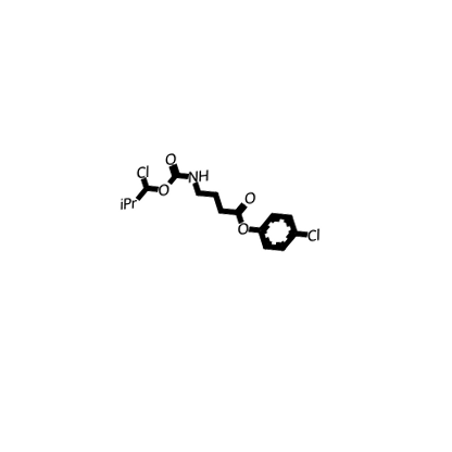 CC(C)C(Cl)OC(=O)NCCCC(=O)Oc1ccc(Cl)cc1